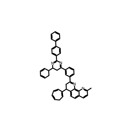 Cc1ccc2ccc3c(c2n1)N=C(c1cccc(C2=NC(c4ccc(-c5ccccc5)cc4)=NC(C4C=CC=CC4)C2)c1)CC3C1=CCC=CC=C1